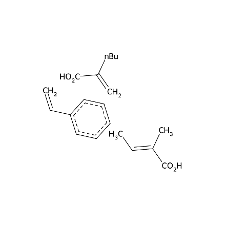 C=C(CCCC)C(=O)O.C=Cc1ccccc1.CC=C(C)C(=O)O